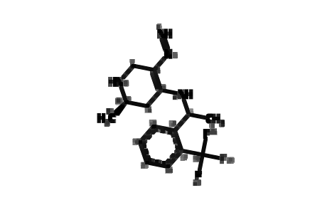 CC(NC1=C(N=N)CN[C@H](C)C1)c1ccccc1C(F)(F)F